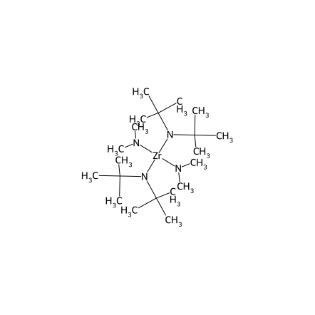 C[N](C)[Zr]([N](C)C)([N](C(C)(C)C)C(C)(C)C)[N](C(C)(C)C)C(C)(C)C